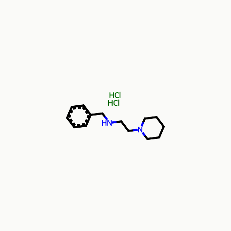 Cl.Cl.c1ccc(CNCCN2CCCCC2)cc1